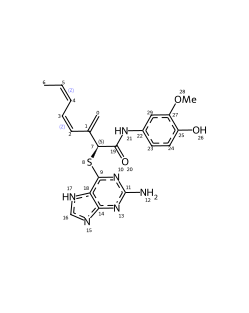 C=C(/C=C\C=C/C)[C@H](Sc1nc(N)nc2nc[nH]c12)C(=O)Nc1ccc(O)c(OC)c1